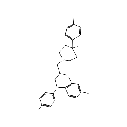 OC1(c2ccc(F)cc2)CCN(CC2CN(c3ccc(F)cc3)c3ccc(F)cc3O2)CC1